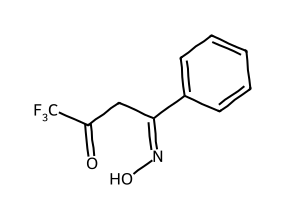 O=C(CC(=NO)c1ccccc1)C(F)(F)F